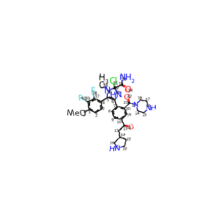 COc1ccc(C2=C(c3ccc(C(=O)CC4CCNC4)cc3C(=O)N3CCNCC3)NC(Cl)(C(N)=O)N2C)c(F)c1F